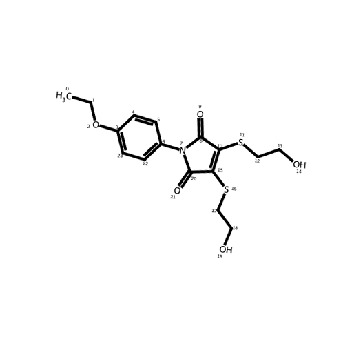 CCOc1ccc(N2C(=O)C(SCCO)=C(SCCO)C2=O)cc1